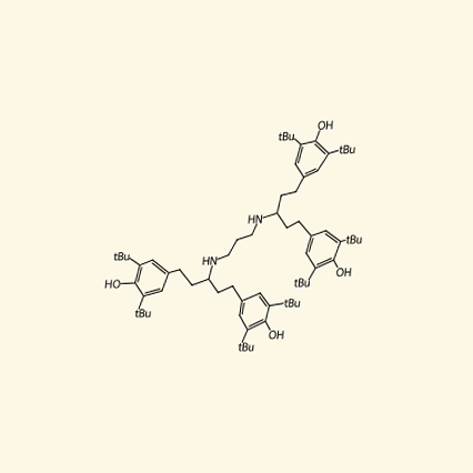 CC(C)(C)c1cc(CCC(CCc2cc(C(C)(C)C)c(O)c(C(C)(C)C)c2)NCCCNC(CCc2cc(C(C)(C)C)c(O)c(C(C)(C)C)c2)CCc2cc(C(C)(C)C)c(O)c(C(C)(C)C)c2)cc(C(C)(C)C)c1O